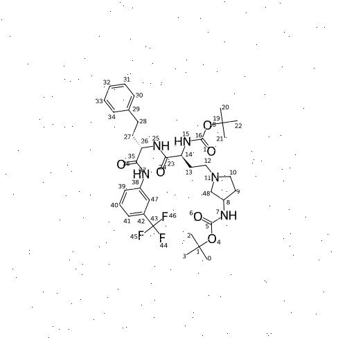 CC(C)(C)OC(=O)NC1CCN(CC[C@H](NC(=O)OC(C)(C)C)C(=O)N[C@@H](CCc2ccccc2)C(=O)Nc2cccc(C(F)(F)F)c2)C1